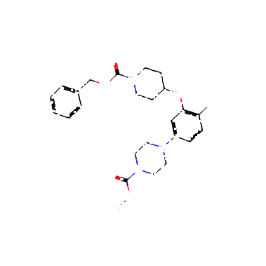 CC(C)(C)OC(=O)N1CCN(c2ccc(Cl)c(OC3CCN(C(=O)OCc4ccccc4)CC3)c2)CC1